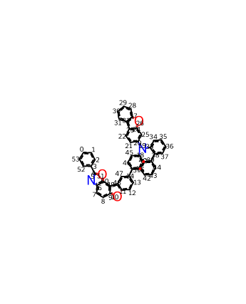 c1ccc(-c2nc3ccc4oc5ccc(-c6ccc(N(c7ccc8c(c7)oc7ccccc78)c7ccccc7-c7ccccc7)cc6)cc5c4c3o2)cc1